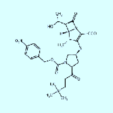 C[C@@H](O)[C@H]1C(=O)N2C(C(=O)[O-])=C(S[C@H]3C[C@@H](C(=O)CC[N+](C)(C)C)N(C(=O)OCc4ccc([N+](=O)[O-])cc4)C3)[C@H](C)[C@H]12